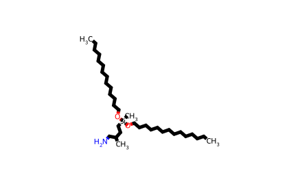 CCCCCCCCCCCCCCO[Si](C)(CCC(C)CN)OCCCCCCCCCCCCCC